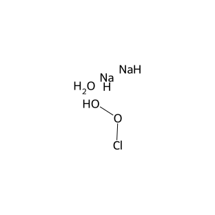 O.OOCl.[NaH].[NaH]